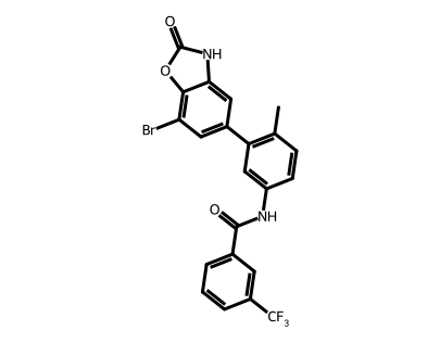 Cc1ccc(NC(=O)c2cccc(C(F)(F)F)c2)cc1-c1cc(Br)c2oc(=O)[nH]c2c1